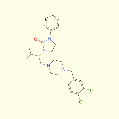 CC(C)C(CN1CCN(Cc2ccc(Cl)c(Cl)c2)CC1)N1CCN(c2ccccc2)C1=O